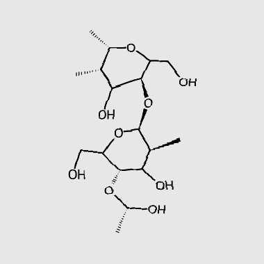 C[C@@H]1OC(CO)[C@@H](O[C@@H]2OC(CO)[C@@H](O[C@@H](C)O)C(O)[C@@H]2C)C(O)[C@@H]1C